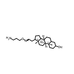 C[C@]12CCC(O)CC1CC[C@@H]1[C@H]2CC[C@]2(C)C(CC=NOCCCN)CC[C@@H]12